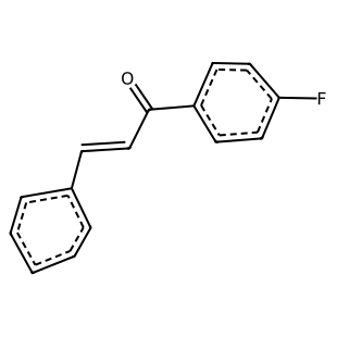 O=C(C=Cc1ccccc1)c1ccc(F)cc1